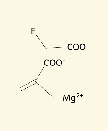 C=C(C)C(=O)[O-].O=C([O-])CF.[Mg+2]